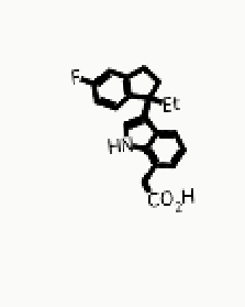 CCC1(c2c[nH]c3c(CC(=O)O)cccc23)CCc2cc(F)ccc21